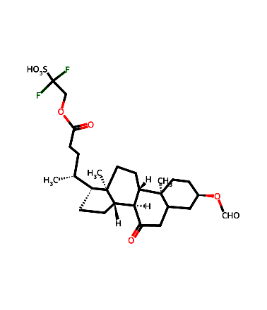 C[C@H](CCC(=O)OCC(F)(F)S(=O)(=O)O)[C@H]1CC[C@H]2[C@@H]3C(=O)CC4C[C@H](OC=O)CC[C@]4(C)[C@H]3CC[C@]12C